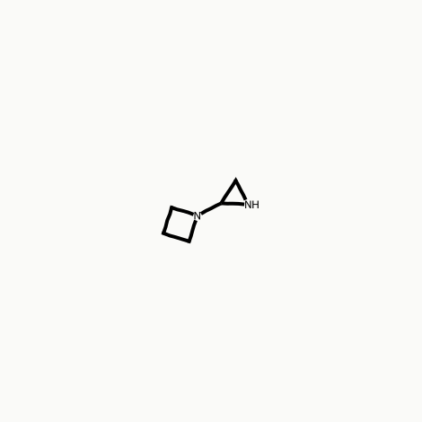 C1CN(C2CN2)C1